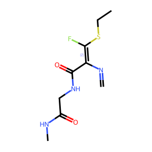 C=N/C(C(=O)NCC(=O)NC)=C(/F)SCC